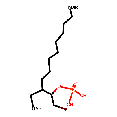 CCCCCCCCCCCCCCCCCCC(COC(C)=O)C(CBr)OP(=O)(O)O